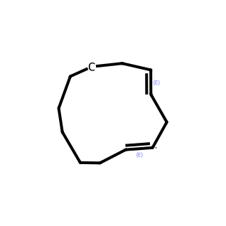 [C]1=C/CCCCCCC/C=C/C/1